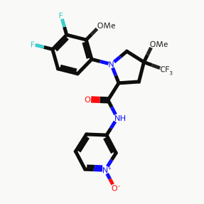 COc1c(N2CC(OC)(C(F)(F)F)CC2C(=O)Nc2ccc[n+]([O-])c2)ccc(F)c1F